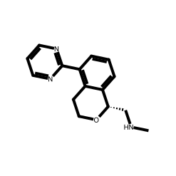 CNC[C@@H]1OCCc2c(-c3ncccn3)cccc21